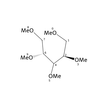 COC[C@@H](OC)C(OC)[C@@H](COC)OC